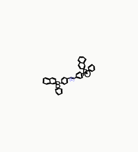 O=P(c1ccccc1)(c1ccc(/C=C/c2ccc(B(c3ccccc3)c3ccc4ccccc4c3)cc2)cc1)c1ccc2ccccc2c1